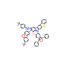 CC(C)(C)c1ccc(Nc2cc3oc4cc(C(C)(C)C)ccc4c3cc2-c2ccc3c4cc5c(cc4n4c3c2Bc2cc3c(-c6ccccc6)oc(-c6ccccc6)c3cc2-4)sc2ccccc25)cc1